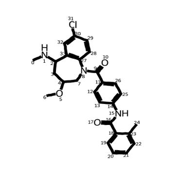 CNC1CC(OC)CN(C(=O)c2ccc(NC(=O)c3ccccc3C)cc2)c2ccc(Cl)cc21